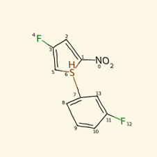 O=[N+]([O-])C1=CC(F)=C[SH]1c1cccc(F)c1